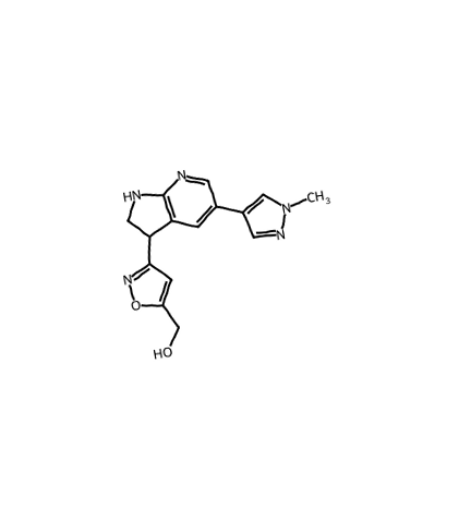 Cn1cc(-c2cnc3c(c2)C(c2cc(CO)on2)CN3)cn1